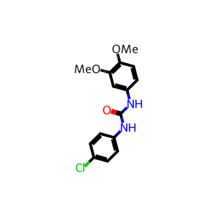 COc1ccc(NC(=O)Nc2ccc(Cl)cc2)cc1OC